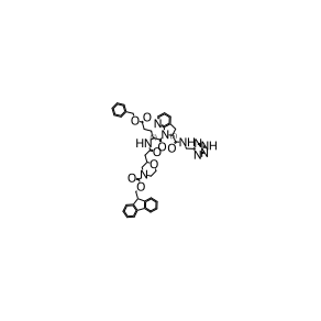 O=C(CC1CN(C(=O)OCC2c3ccccc3-c3ccccc32)CCO1)N[C@@H](CCC(=O)OCc1ccccc1)C(=O)N1c2ncccc2C[C@H]1C(=O)NCc1nn[nH]n1